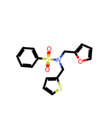 O=S(=O)(c1ccccc1)N(Cc1ccco1)Cc1cccs1